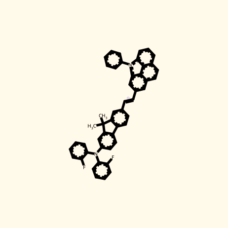 CC1(C)c2cc(/C=C/c3cc4ccc5cccc6c5c4c(c3)n6-c3ccccc3)ccc2-c2ccc(N(c3ccccc3F)c3ccccc3F)cc21